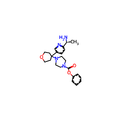 C[C@H](N)c1ccc(C2(N3CCN(C(=O)Oc4ccccc4)CC3)CCOCC2)cn1